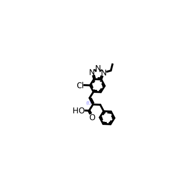 CCn1nnc2c(Cl)c(/C=C(\Cc3ccccc3)C(=O)O)ccc21